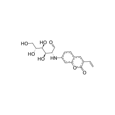 C=Cc1cc2ccc(N[C@@H](C=O)[C@@H](O)[C@H](O)[C@H](O)CO)cc2oc1=O